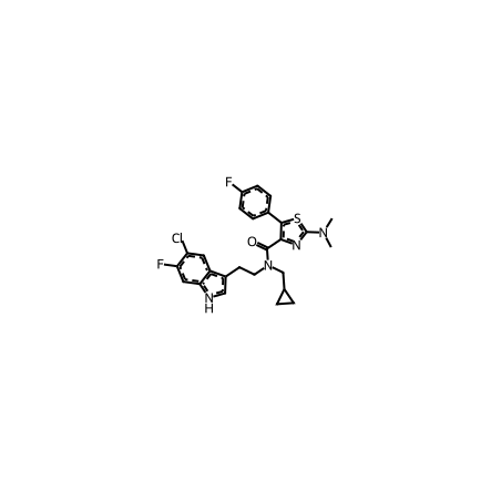 CN(C)c1nc(C(=O)N(CCc2c[nH]c3cc(F)c(Cl)cc23)CC2CC2)c(-c2ccc(F)cc2)s1